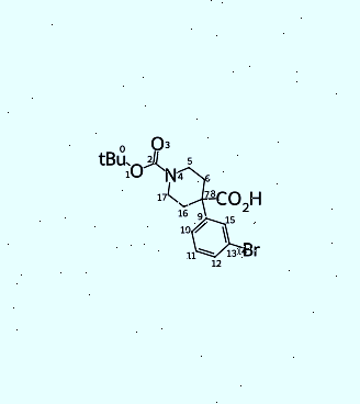 CC(C)(C)OC(=O)N1CCC(C(=O)O)(c2cccc(Br)c2)CC1